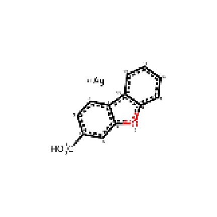 O=C(O)c1ccc2c(c1)oc1ccccc12.[Ag]